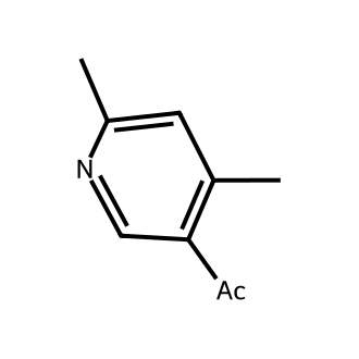 CC(=O)c1cnc(C)cc1C